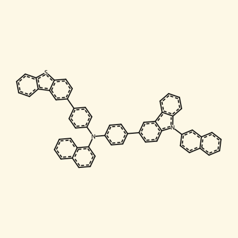 c1ccc2cc(-n3c4ccccc4c4cc(-c5ccc(N(c6ccc(-c7ccc8sc9ccccc9c8c7)cc6)c6cccc7ccccc67)cc5)ccc43)ccc2c1